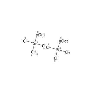 CCCCCCCC[Si](C)(Cl)Cl.CCCCCCCC[Si](Cl)(Cl)Cl